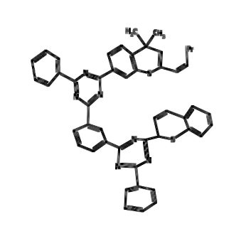 CC(C)/C=C\C1=CC(C)(C)c2ccc(-c3nc(-c4ccccc4)nc(-c4cccc(-c5nc(-c6ccccc6)nc(C6C=Cc7ccccc7S6)n5)c4)n3)cc2S1